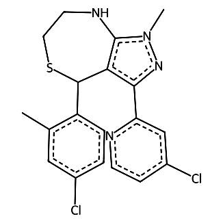 Cc1cc(Cl)ccc1C1SCCNc2c1c(-c1cc(Cl)ccn1)nn2C